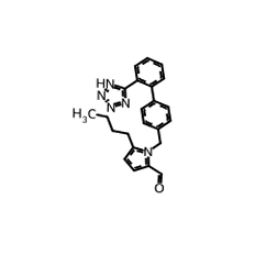 CCCCc1ccc(C=O)n1Cc1ccc(-c2ccccc2-c2nnn[nH]2)cc1